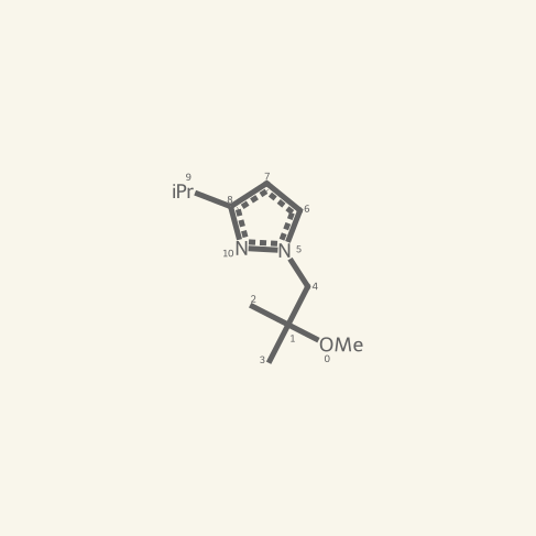 COC(C)(C)Cn1ccc(C(C)C)n1